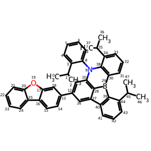 CC(C)c1ccccc1N1c2cc(-c3ccc4c(c3)oc3ccccc34)cc3c2B(c2cccc(C(C)C)c21)c1c-3cccc1C(C)C